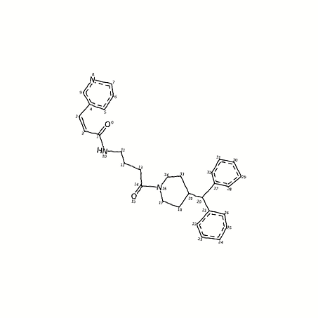 O=C(/C=C\c1cccnc1)NCCCC(=O)N1CCC(C(c2ccccc2)c2ccccc2)CC1